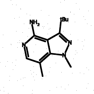 Cc1cnc(N)c2c(C(C)(C)C)nn(C)c12